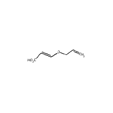 C=CCOC=CC(=O)O